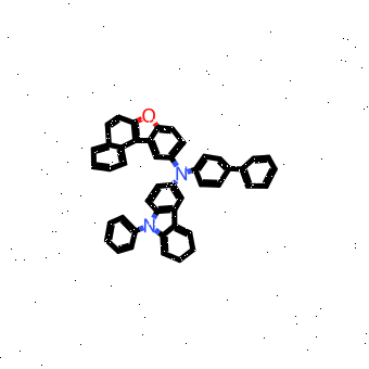 C1=c2c(n(-c3ccccc3)c3ccc(N(c4ccc(-c5ccccc5)cc4)c4ccc5oc6ccc7ccccc7c6c5c4)cc23)=CCC1